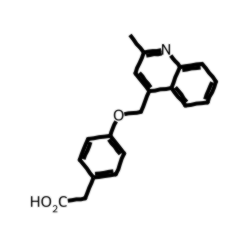 Cc1cc(COc2ccc(CC(=O)O)cc2)c2ccccc2n1